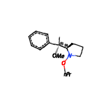 CCCON1CCC[C@@H]1[C@@](C)(OC)c1ccccc1